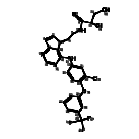 O=C(NCCn1ccc2ncnc(Nc3ccc(Oc4cccc(C(F)(F)F)c4)c(Cl)c3)c21)C(O)CO